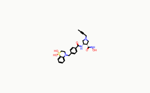 CC#CCN1C[C@H](C(=O)NO)[C@H](NC(=O)c2ccc(CN3CCS(O)(O)c4ccccc43)cc2)C1